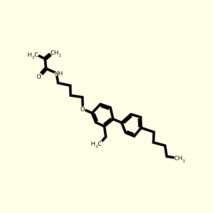 C=C(C)C(=O)NCCCCOc1ccc(-c2ccc(CCCCC)cc2)c(CC)c1